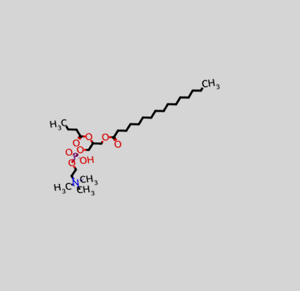 CCCCCCCCCCCCCCCC(=O)OCC(COP(=O)(O)OCC[N+](C)(C)C)OC(=O)CCC